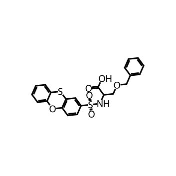 O=C(O)C(COCc1ccccc1)NS(=O)(=O)c1ccc2c(c1)Sc1ccccc1O2